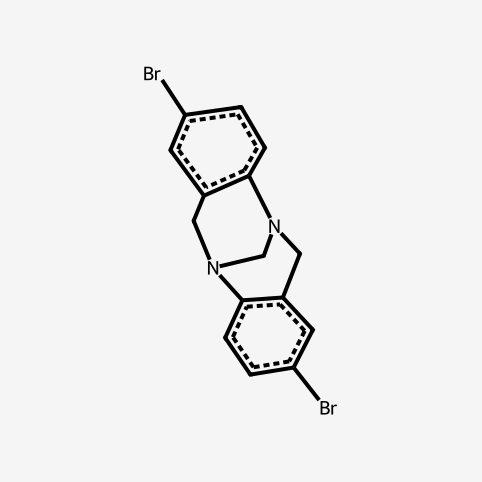 Brc1ccc2c(c1)CN1CN2Cc2cc(Br)ccc21